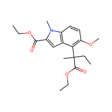 CCOC(=O)c1cc2c(C(C)(CC)C(=O)OCC)c(OC)ccc2n1C